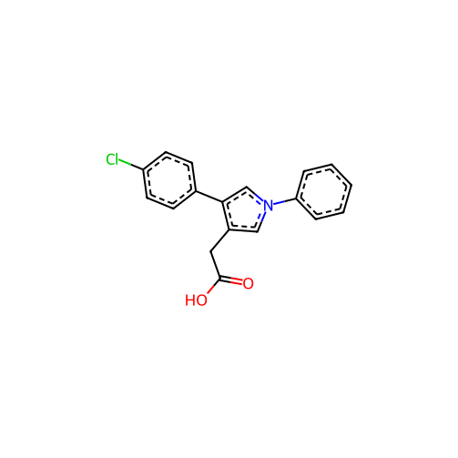 O=C(O)Cc1cn(-c2ccccc2)cc1-c1ccc(Cl)cc1